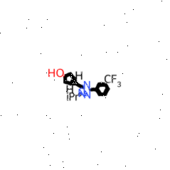 CC(C)n1nc(-c2cccc(C(F)(F)F)c2)nc1C1[C@H]2CC(O)C[C@@H]12